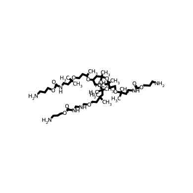 CC(CCOC(C)(C)CCNC(=O)OCCCN)OC(COC(C)(C)CC(C)(C)CCOCNCNC(=O)OCCCN)CC(C)(C)OC(C)(C)CCOC(C)(C)CCNC(=O)OCCCN